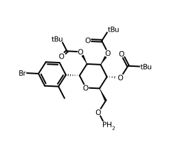 Cc1cc(Br)ccc1[C@H]1O[C@H](COP)[C@@H](OC(=O)C(C)(C)C)[C@H](OC(=O)C(C)(C)C)[C@@H]1OC(=O)C(C)(C)C